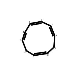 [C]1=C\C\C=C/C=C\C=C/C/1